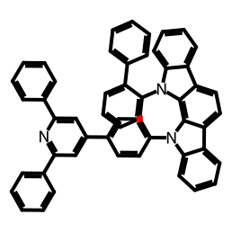 c1ccc(-c2cc(-c3ccc(-n4c5ccccc5c5ccc6c7ccccc7n(-c7ccccc7-c7ccccc7)c6c54)cc3)cc(-c3ccccc3)n2)cc1